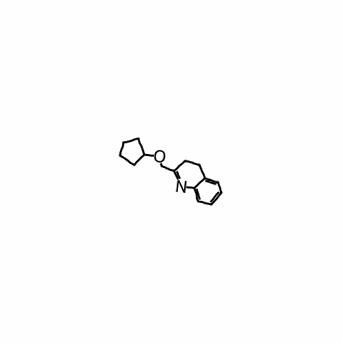 c1ccc2c(c1)CCC(COC1CCCC1)=N2